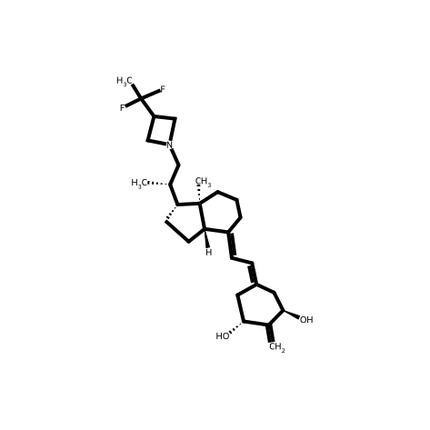 C=C1[C@H](O)CC(=C/C=C2\CCC[C@]3(C)[C@@H]([C@H](C)CN4CC(C(C)(F)F)C4)CC[C@@H]23)C[C@H]1O